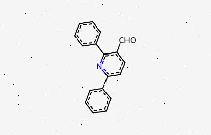 O=Cc1ccc(-c2ccccc2)nc1-c1ccccc1